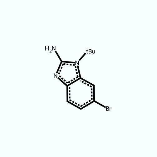 CC(C)(C)n1c(N)nc2ccc(Br)cc21